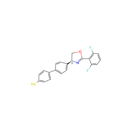 Fc1cccc(F)c1C1=N[C@@H](c2ccc(-c3ccc(S)cc3)cc2)CO1